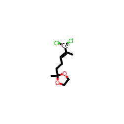 C/[C](=C\CCC1(C)OCCO1)[Ce]([Cl])[Cl]